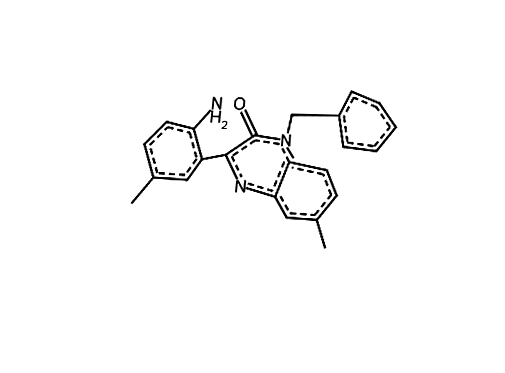 Cc1ccc(N)c(-c2nc3cc(C)ccc3n(Cc3ccccc3)c2=O)c1